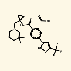 CC1(C)CCCN(CC2(NC(=O)c3ccc(N4C=C(C(F)(F)F)ON4)cc3)CC2)C1.O=CO